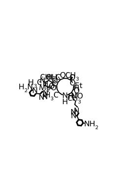 CC[C@H]1OC(=O)[C@H](C)C(=O)[C@H](C)[C@@H](O[C@@H]2O[C@H](Cn3cc(-c4cccc(N)n4)nn3)CC(N(C)C)C2O)[C@](C)(OC)C[C@@H](C)CN[C@H](C)[C@@H]2[C@@H]1OC(=O)N2CCCCn1cc(-c2cccc(N)c2)nn1